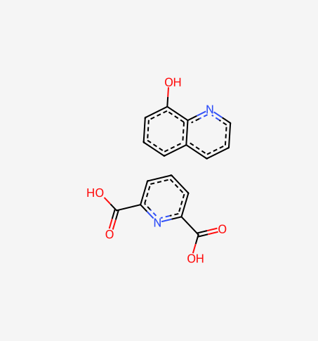 O=C(O)c1cccc(C(=O)O)n1.Oc1cccc2cccnc12